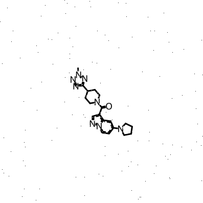 Cn1nnc(C2CCN(C(=O)c3cnn4ccc(N5CCCC5)cc34)CC2)n1